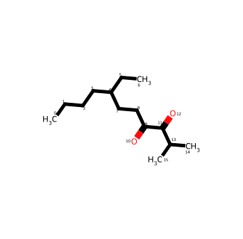 CCCCC(CC)CCC(=O)C(=O)C(C)C